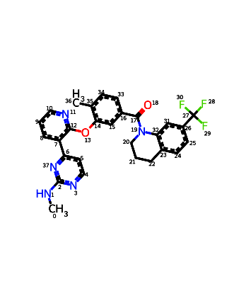 CNc1nccc(-c2cccnc2Oc2cc(C(=O)N3CCCc4ccc(C(F)(F)F)cc43)ccc2C)n1